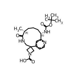 C[C@@H]1CCC[C@H](NC(=O)OC(C)(C)C)c2cc(ccn2)C2(CNC1=O)CN(C(=O)O)C2